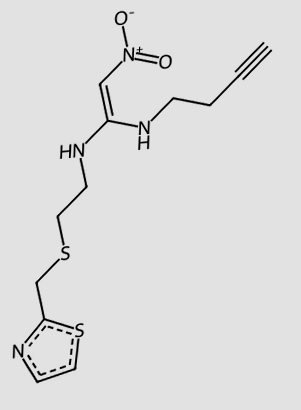 C#CCCNC(=C[N+](=O)[O-])NCCSCc1nccs1